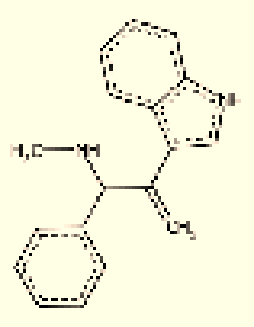 C=C(c1c[nH]c2ccccc12)C(NC)c1ccccc1